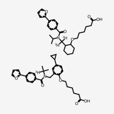 [2H]C(C)(C)N(Cc1cc(C2CC2)ccc1OCCCCCC(=O)O)C(=O)c1ccc(-c2ccco2)cc1.[2H]C([2H])(C1CCCCC1OCCCCCC(=O)O)N(C(=O)c1ccc(-c2ccco2)cc1)C(C)C